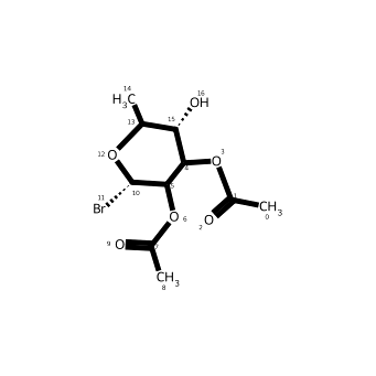 CC(=O)OC1C(OC(C)=O)[C@H](Br)OC(C)[C@@H]1O